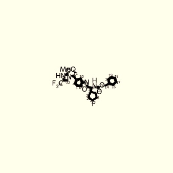 COC[C@H](c1ccc2oc([C@H](NC(=O)OCc3ccccc3)C3CCC(F)CC3)nc2c1)N1C[C@@H](C(F)(F)F)NC1=O